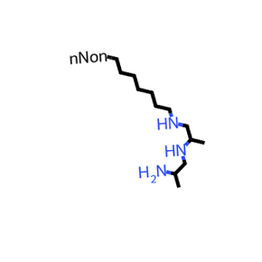 CCCCCCCCCCCCCCCCNCC(C)NCC(C)N